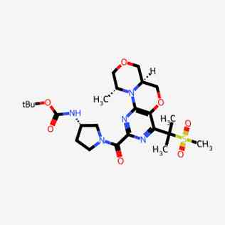 C[C@@H]1COC[C@H]2COc3c(nc(C(=O)N4CC[C@H](NC(=O)OC(C)(C)C)C4)nc3C(C)(C)S(C)(=O)=O)N21